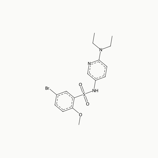 CCN(CC)c1ccc(NS(=O)(=O)c2cc(Br)ccc2OC)cn1